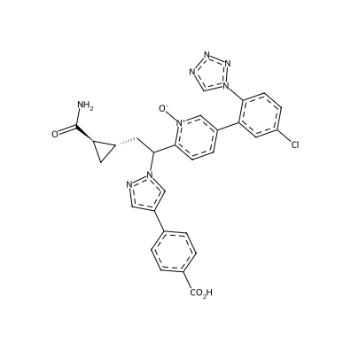 NC(=O)[C@@H]1C[C@H]1CC(c1ccc(-c2cc(Cl)ccc2-n2cnnn2)c[n+]1[O-])n1cc(-c2ccc(C(=O)O)cc2)cn1